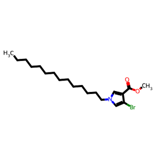 CCCCCCCCCCCCCCn1cc(Br)c(C(=O)OC)c1